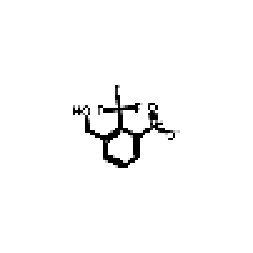 O=[N+]([O-])c1cccc(CO)c1C(F)(F)F